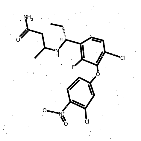 CC[C@@H](NC(C)CC(N)=O)c1ccc(Cl)c(Oc2ccc([N+](=O)[O-])c(Cl)c2)c1F